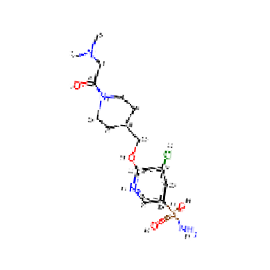 CN(C)CC(=O)N1CCC(COc2ncc(S(N)(=O)=O)cc2Cl)CC1